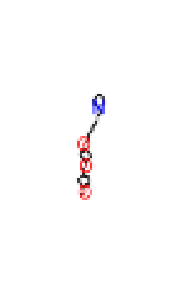 COc1ccc(COc2ccc(OCCCCCCCN3CCCCC3)cc2)cc1